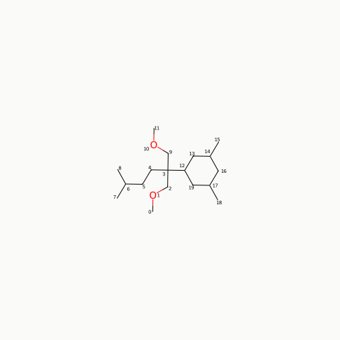 COCC(CCC(C)C)(COC)C1CC(C)CC(C)C1